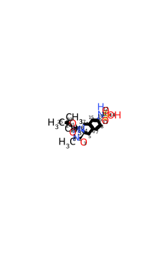 CNC(=O)[C@@H]1Cc2ccc(NS(=O)(=O)O)cc2CN1C(=O)OC(C)(C)C